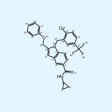 O=C(NC1CC1)c1ccc2c(c1)cc(COc1ccccc1)n2Cc1cc(C(F)(F)F)ccc1Cl